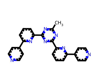 Cc1nc(-c2cccc(-c3ccncc3)n2)nc(-c2cccc(-c3ccncc3)n2)n1